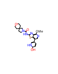 COc1ncc(C2=CNC(O)C=C2)c2sc(NC(=O)N3CCC4(CCOCC4)C3)nc12